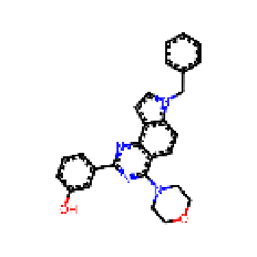 Oc1cccc(-c2nc(N3CCOCC3)c3ccc4c(ccn4Cc4ccccc4)c3n2)c1